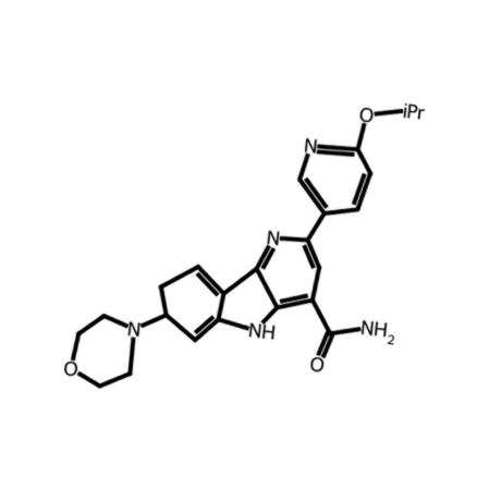 CC(C)Oc1ccc(-c2cc(C(N)=O)c3[nH]c4c(c3n2)=CCC(N2CCOCC2)C=4)cn1